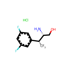 Cl.N[C@H](CO)[C@@H](c1cc(F)cc(F)c1)C(F)(F)F